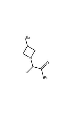 CC(C)C(=O)C(C)N1CC(C(C)(C)C)C1